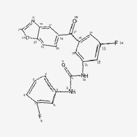 O=C(Nc1cccc(F)c1)Nc1cc(F)cc(C(=O)c2ccc3ocnc3c2)c1